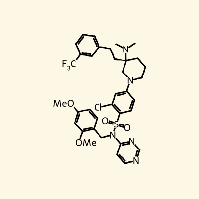 COc1ccc(CN(c2ccncn2)S(=O)(=O)c2ccc(N3CCC[C@@](CCc4cccc(C(F)(F)F)c4)(N(C)C)C3)cc2Cl)c(OC)c1